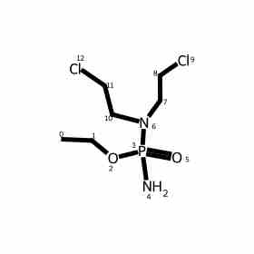 CCOP(N)(=O)N(CCCl)CCCl